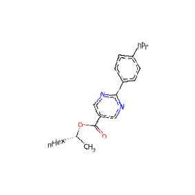 CCCCCC[C@@H](C)OC(=O)c1cnc(-c2ccc(CCC)cc2)nc1